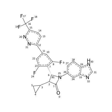 O=C1C(C2CC2)[C@H](c2c(F)cc(-c3ccc(C(F)(F)F)nn3)cc2F)N1c1ccc2[nH]cnc2c1